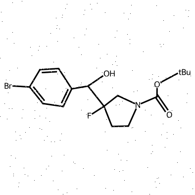 CC(C)(C)OC(=O)N1CCC(F)(C(O)c2ccc(Br)cc2)C1